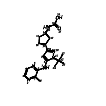 Cc1nccnc1Nc1cc([C@H]2CCC(NC(=O)O)C2)nn1C(C)(C)C